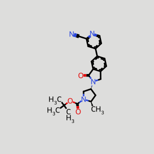 C[C@@H]1C[C@@H](N2Cc3ccc(-c4ccnc(C#N)c4)cc3C2=O)CN1C(=O)OC(C)(C)C